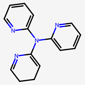 C1=NC(N(c2ccccn2)c2ccccn2)=CCC1